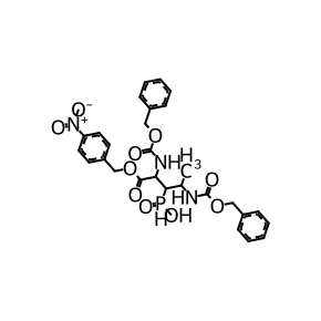 CC(NC(=O)OCc1ccccc1)C(C(NC(=O)OCc1ccccc1)C(=O)OCc1ccc([N+](=O)[O-])cc1)[PH](=O)O